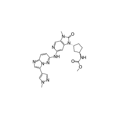 COC(=O)N[C@@H]1CC[C@@H](n2c(=O)n(C)c3cnc(Nc4ccc5ncc(-c6cnn(C)c6)n5n4)cc32)C1